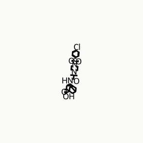 CC1C2CC3CC(CC1(C(=O)O)C3)C2NC(=O)C(C)(C)N1CCN(S(=O)(=O)c2ccc(Cl)cc2)CC1